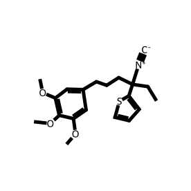 [C-]#[N+]C(CC)(CCCc1cc(OC)c(OC)c(OC)c1)c1cccs1